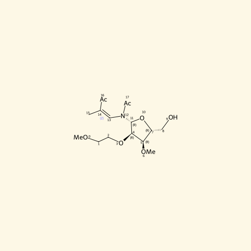 COCCO[C@@H]1[C@H](OC)[C@@H](CO)O[C@H]1N(/C=C(/C)C(C)=O)C(C)=O